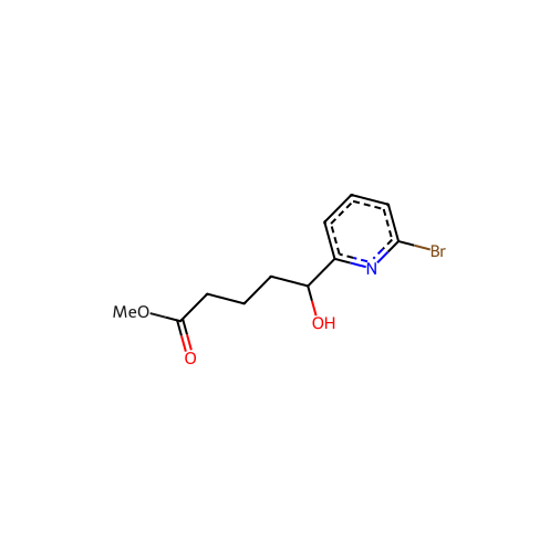 COC(=O)CCCC(O)c1cccc(Br)n1